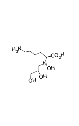 NCCCC[C@@H](C(=O)O)N(O)CC(O)CO